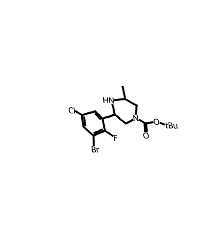 CC1CN(C(=O)OC(C)(C)C)CC(c2cc(Cl)cc(Br)c2F)N1